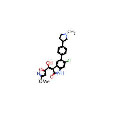 COc1cc(C(O)=C2C(=O)Nc3cc(Cl)c(-c4ccc(C5CCN(C)C5)cc4)cc32)on1